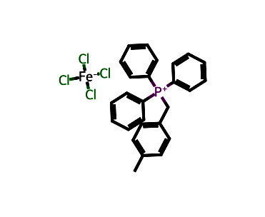 Cc1ccc(C[P+](c2ccccc2)(c2ccccc2)c2ccccc2)cc1.[Cl][Fe-]([Cl])([Cl])[Cl]